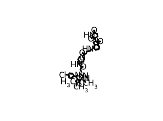 Cc1sc2c(c1C)C(c1ccc(Cl)cc1)=N[C@@H](CCC(=O)NN1CCN(C(=O)CCCNc3cccc4c3CN(C3CCC(=O)NC3=O)C4=O)CC1)c1nnc(C)n1-2